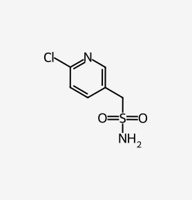 NS(=O)(=O)Cc1ccc(Cl)nc1